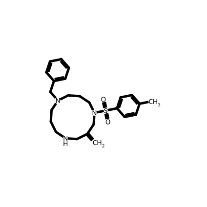 C=C1CNCCCN(Cc2ccccc2)CCCN(S(=O)(=O)c2ccc(C)cc2)C1